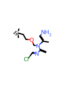 C=C(/N=C/Cl)N(COCC[Si](C)(C)C)/C(C)=C/N